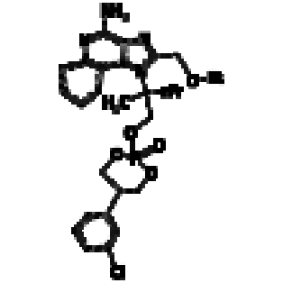 CCCC(C)(COP1(=O)OCC(c2cccc(Cl)c2)CO1)n1c(COCC)nc2c(N)nc3ccccc3c21